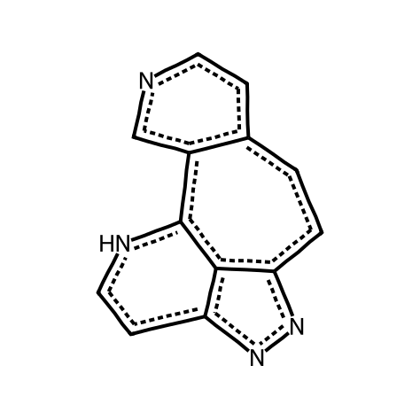 c1cc2ccc3nnc4cc[nH]c(c2cn1)c43